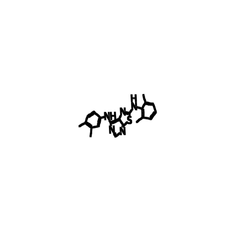 Cc1ccc(Nc2ncnc3sc(Nc4c(C)cccc4C)nc23)cc1C